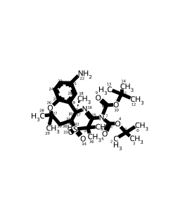 CC(C)(C)OC(=O)N(C(=O)OC(C)(C)C)C1=N[C@]2(C)c3cc(N)ccc3OC(C)(C)C[C@@H]2S(=O)(=O)C1(C)C